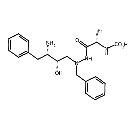 CC(C)[C@H](NC(=O)O)C(=O)NN(Cc1ccccc1)C[C@H](O)[C@@H](N)Cc1ccccc1